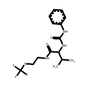 CC(C)C(NC(=O)Nc1ccccc1)C(=O)NCCSC(F)(F)F